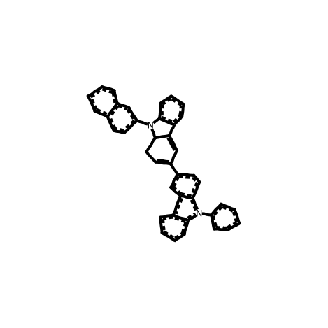 C1=C(c2ccc3c(c2)c2ccccc2n3-c2ccccc2)C=C2c3ccccc3N(c3ccc4ccccc4c3)C2C1